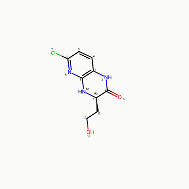 O=C1Nc2ccc(Cl)nc2N[C@@H]1CCO